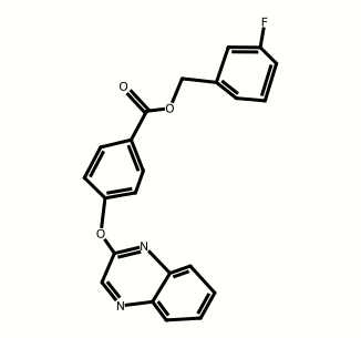 O=C(OCc1cccc(F)c1)c1ccc(Oc2cnc3ccccc3n2)cc1